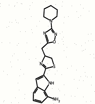 Nc1cccc2cc(C3=NC(Cc4nc(N5CCCCC5)no4)CS3)[nH]c12